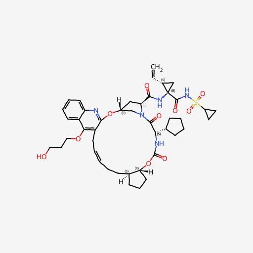 C=C[C@@H]1C[C@]1(NC(=O)[C@@H]1C[C@@H]2CN1C(=O)[C@H](C1CCCC1)NC(=O)O[C@@H]1CCC[C@H]1CCC=CCc1c(nc3ccccc3c1OCCCO)O2)C(=O)NS(=O)(=O)C1CC1